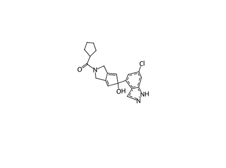 O=C(C1CCCC1)N1CC2=CC(O)(c3cc(Cl)cc4[nH]ncc34)C=C2C1